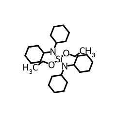 CCO[Si](OCC)(N(C1CCCCC1)C1CCCCC1)N(C1CCCCC1)C1CCCCC1